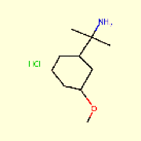 COC1CCCC(C(C)(C)N)C1.Cl